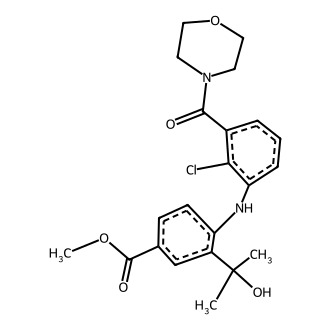 COC(=O)c1ccc(Nc2cccc(C(=O)N3CCOCC3)c2Cl)c(C(C)(C)O)c1